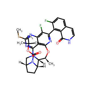 CSc1nc2c3c(nc(-c4c(F)ccc5cc[nH]c(=O)c45)c(F)c3n1)O[C@@H](C)[C@@H]1[C@@H]3CC[C@H](CN21)N3C(=O)OC(C)(C)C